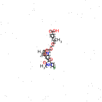 CNC(=O)c1c(-c2ccc(F)cc2)oc2cc(N(CCOCCOCC(C)Cc3ccc(C(=O)O)cc3)S(C)(=O)=O)c(C3CC3)cc12